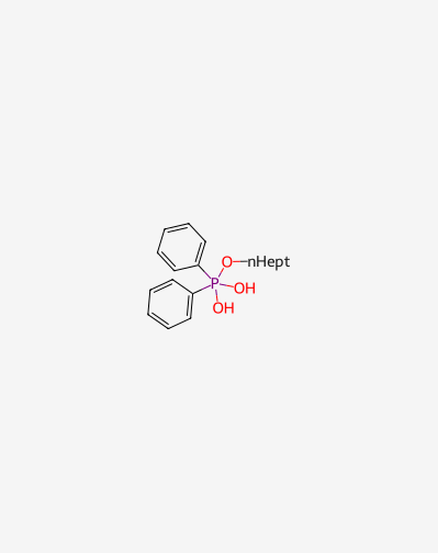 CCCCCCCOP(O)(O)(c1ccccc1)c1ccccc1